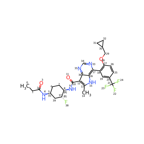 CCC(=O)N[C@H]1CC[C@@H](NC(=O)c2c(C)[nH]c3c(-c4cc(C(F)(F)F)ccc4OCC4CC4)ncnc23)[C@H](F)C1